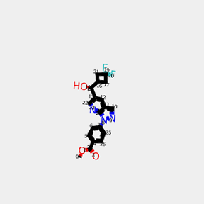 COC(=O)c1ccc(-n2ncc3cc([C@@H](O)C4CC(F)(F)C4)cnc32)cc1